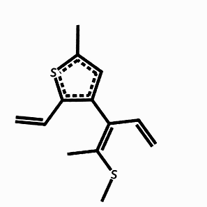 C=C/C(=C(/C)SC)c1cc(C)sc1C=C